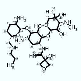 CN[C@@H]1C(O)[C@@H](OC2C(O)C(O[C@H]3O[C@H](CNCCO)CCC3N)[C@@H](N)C[C@H]2NC(=N)C2(O)COC2)OCC1(C)O